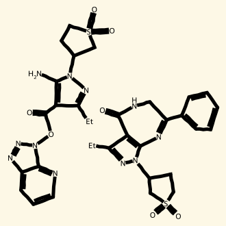 CCc1nn(C2CCS(=O)(=O)C2)c(N)c1C(=O)On1nnc2cccnc21.CCc1nn(C2CCS(=O)(=O)C2)c2c1C(=O)NCC(c1ccccc1)=N2